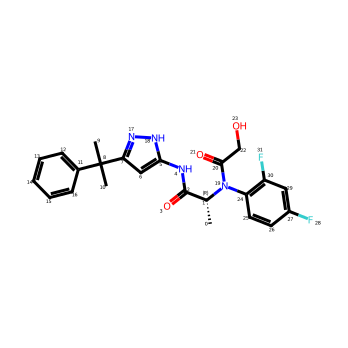 C[C@H](C(=O)Nc1cc(C(C)(C)c2ccccc2)n[nH]1)N(C(=O)CO)c1ccc(F)cc1F